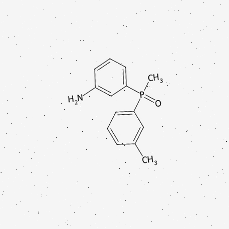 Cc1cccc(P(C)(=O)c2cccc(N)c2)c1